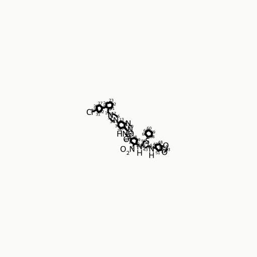 O=[N+]([O-])c1cc(S(=O)(=O)Nc2ncnc3cc(N4CCN(Cc5ccccc5-c5ccc(Cl)cc5)CC4)ccc23)ccc1N[C@H](CCNc1ccc2c(c1)OCO2)CSc1ccccc1